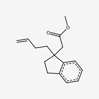 C=CCCC1(CC(=O)OC)CCc2ccccc21